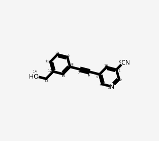 N#Cc1cncc(C#Cc2cccc(CO)c2)c1